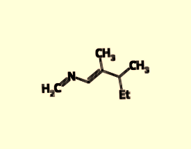 C=NC=C(C)C(C)CC